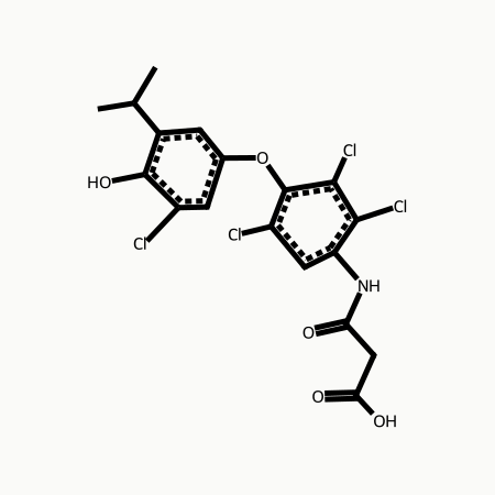 CC(C)c1cc(Oc2c(Cl)cc(NC(=O)CC(=O)O)c(Cl)c2Cl)cc(Cl)c1O